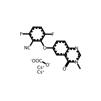 Cn1cnc2ccc(Oc3c(F)ccc(F)c3C#N)cc2c1=O.O=C([O-])[O-].[Cs+].[Cs+]